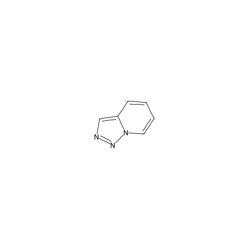 [c]1cccn2nncc12